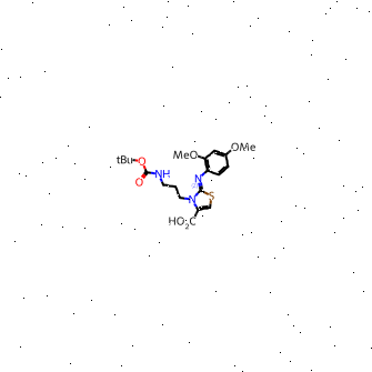 COc1ccc(/N=c2\scc(C(=O)O)n2CCCNC(=O)OC(C)(C)C)c(OC)c1